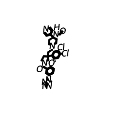 COc1ccc(-n2cnnn2)cc1C(=O)N1CCC(CCN2CCC(NC=O)(c3ccncc3)CC2)(c2ccc(Cl)c(Cl)c2)C1